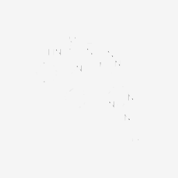 O=C1Nc2ccccc2C(c2ccccc2)=NC1Nc1nnc(-c2cnc(N3CCOCC3)nc2)o1